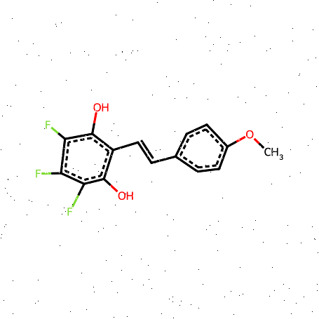 COc1ccc(C=Cc2c(O)c(F)c(F)c(F)c2O)cc1